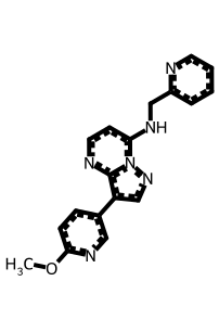 COc1ccc(-c2cnn3c(NCc4ccccn4)ccnc23)cn1